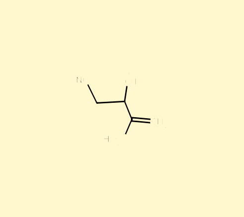 C=C(C(=O)O)C(C)CC#N